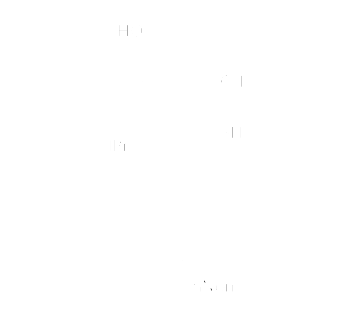 Br.CCCCCCCCCCCCCCC(S)c1ccc(O)cc1C